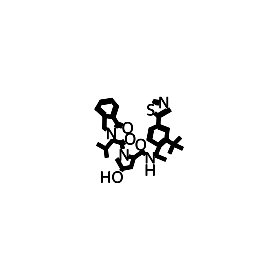 CC(NC(=O)C1CC(O)CN1C(=O)C(C(C)C)N1Cc2ccccc2C1=O)c1ccc(-c2cncs2)cc1C(C)(C)C